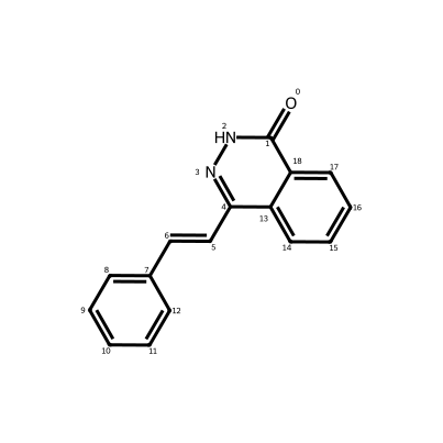 O=c1[nH]nc(C=Cc2ccccc2)c2ccccc12